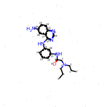 CCCN(CCC)CC(=O)Nc1cccc(Nc2ncnc3ccc(N)cc23)c1